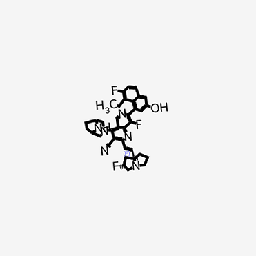 CCc1c(F)ccc2cc(O)cc(-c3ncc4c(N5CC6CCC(C5)N6)c(C#N)c(/C=C/[C@@]56CCCN5C[C@H](F)C6)nc4c3F)c12